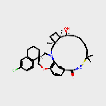 CC1(C)CCCC[C@H](O)[C@@H]2CC[C@H]2CN2C[C@@]3(CCCc4cc(Cl)ccc43)COc3ccc(cc32)C(=O)NS1